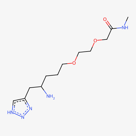 CNC(=O)COCCOCCCC(N)Cc1c[nH]nn1